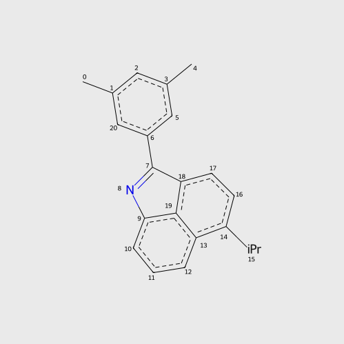 Cc1cc(C)cc(C2=Nc3cccc4c(C(C)C)ccc2c34)c1